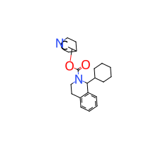 O=C(OC1CN2CCC1CC2)N1CCc2ccccc2C1C1CCCCC1